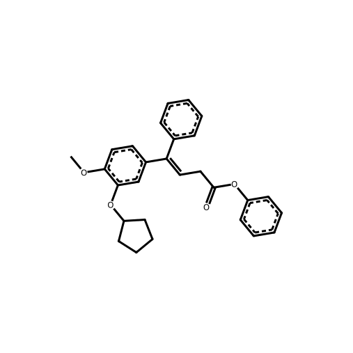 COc1ccc(/C(=C/CC(=O)Oc2ccccc2)c2ccccc2)cc1OC1CCCC1